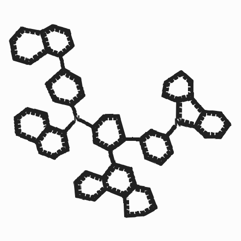 c1cc(-c2ccc(N(c3ccc(-c4cccc5ccccc45)cc3)c3cccc4ccccc34)cc2-c2cc3ccccc3c3ccccc23)cc(-n2c3ccccc3c3ccccc32)c1